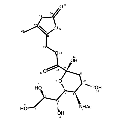 CC(=O)N[C@H]1[C@H]([C@H](O)[C@H](O)CO)O[C@](O)(C(=O)OCC2=C(C)CC(=O)O2)C[C@@H]1O